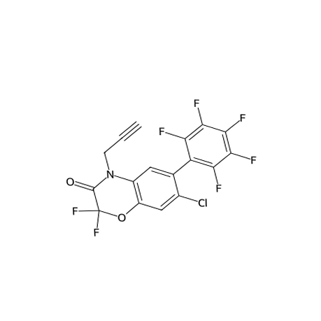 C#CCN1C(=O)C(F)(F)Oc2cc(Cl)c(-c3c(F)c(F)c(F)c(F)c3F)cc21